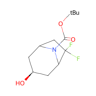 CC(C)(C)OC(=O)N1C2C[C@H](O)CC1C(F)(F)C2